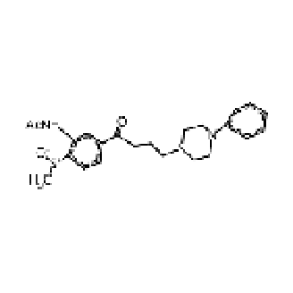 CC(=O)Nc1cc(C(=O)CCCN2CCN(c3ccccc3)CC2)ccc1[S+](C)[O-]